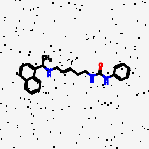 C[C@@H](NC/C=C/CCNC(=O)Nc1ccccc1)c1cccc2ccccc12